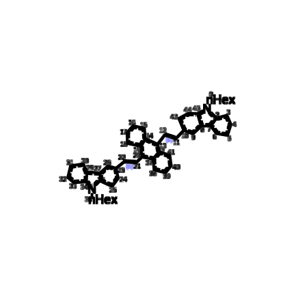 CCCCCCn1c2ccccc2c2cc(/C=C/c3c4ccccc4c(/C=C/c4ccc5c(c4)c4ccccc4n5CCCCCC)c4ccccc34)ccc21